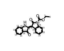 CCOC(=O)N1C(=O)/C(=C2\Nc3ccccc3C2=O)c2ccccc21